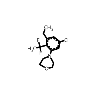 CCc1cc(Cl)cc(N2CCOCC2)c1C(C)(F)F